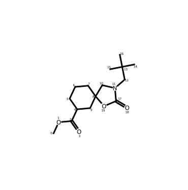 COC(=O)C1CCCC2(C1)CN(CC(C)(C)C)C(=O)O2